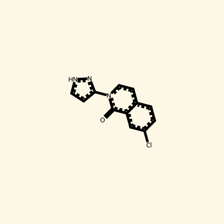 O=c1c2cc(Cl)ccc2ccn1-c1cc[nH]n1